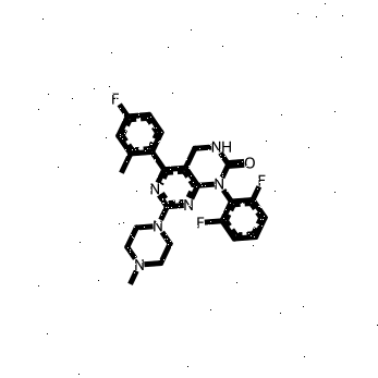 Cc1cc(F)ccc1-c1nc(N2CCN(C)CC2)nc2c1CNC(=O)N2c1c(F)cccc1F